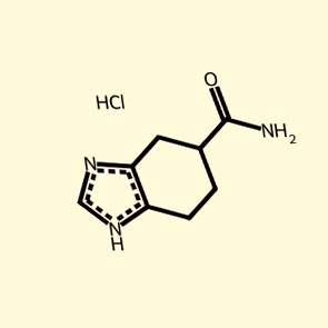 Cl.NC(=O)C1CCc2[nH]cnc2C1